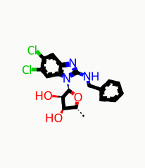 C[C@H]1O[C@@H](n2c(NCc3ccccc3)nc3cc(Cl)c(Cl)cc32)[C@H](O)[C@@H]1O